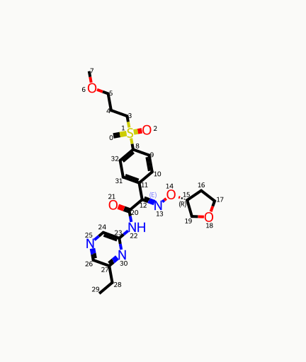 C=S(=O)(CCCOC)c1ccc(/C(=N\O[C@@H]2CCOC2)C(=O)Nc2cncc(CC)n2)cc1